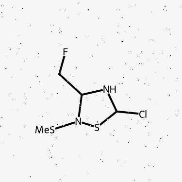 CSN1SC(Cl)NC1CF